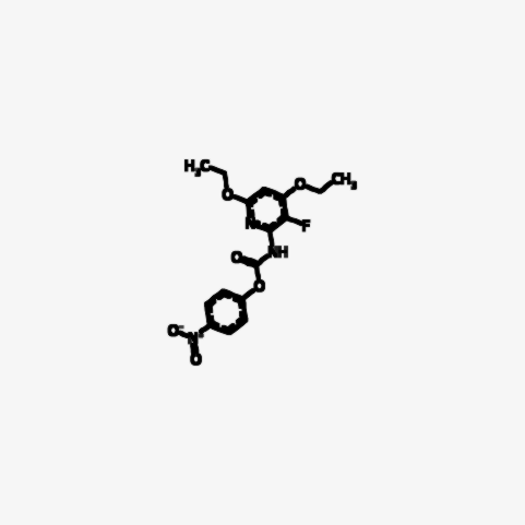 CCOc1cc(OCC)c(F)c(NC(=O)Oc2ccc([N+](=O)[O-])cc2)n1